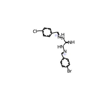 N=C(N/N=C/c1ccc(Cl)cc1)N/N=C/c1ccc(Br)cc1